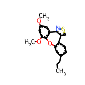 CCCc1ccc2c(c1)Oc1c(OC)cc(OC)cc1-c1nscc1-2